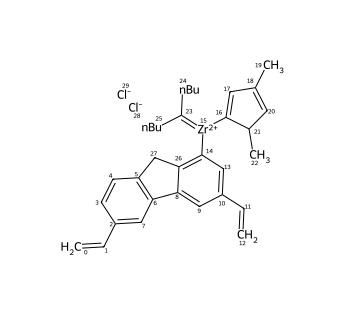 C=Cc1ccc2c(c1)-c1cc(C=C)c[c]([Zr+2]([C]3=CC(C)=CC3C)=[C](CCCC)CCCC)c1C2.[Cl-].[Cl-]